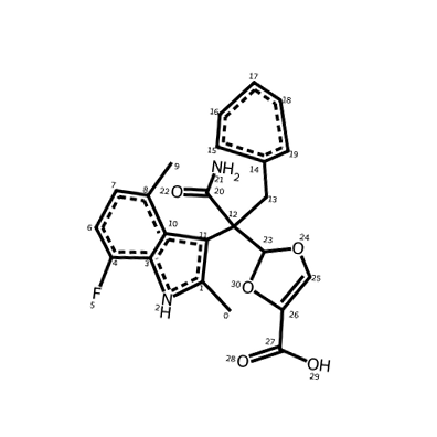 Cc1[nH]c2c(F)ccc(C)c2c1C(Cc1ccccc1)(C(N)=O)C1OC=C(C(=O)O)O1